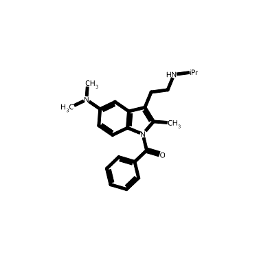 Cc1c(CCNC(C)C)c2cc(N(C)C)ccc2n1C(=O)c1ccccc1